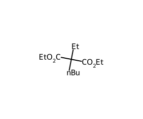 CCCCC(CC)(C(=O)OCC)C(=O)OCC